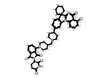 O=C1CCC(N2C(=O)c3cccc(N4CCC(CN5CCC(c6ccc7c(c6)-n6c(nc(=O)c8c(Cl)cccc86)C76CCCCC6)CC5)CC4)c3C2=O)C(=O)N1